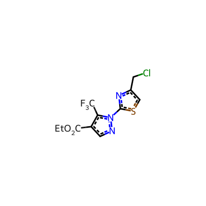 CCOC(=O)c1cnn(-c2nc(CCl)cs2)c1C(F)(F)F